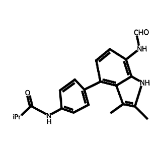 Cc1[nH]c2c(NC=O)ccc(-c3ccc(NC(=O)C(C)C)cc3)c2c1C